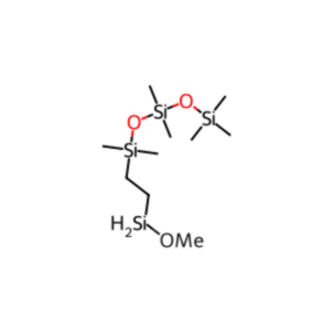 CO[SiH2]CC[Si](C)(C)O[Si](C)(C)O[Si](C)(C)C